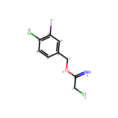 N=C(CCl)OCc1ccc(Cl)c(I)c1